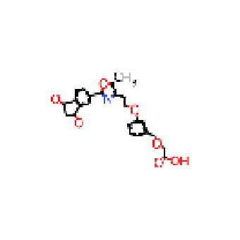 Cc1oc(-c2ccc3c(c2)C(=O)CC3=O)nc1CCOc1cccc(COCC(=O)O)c1